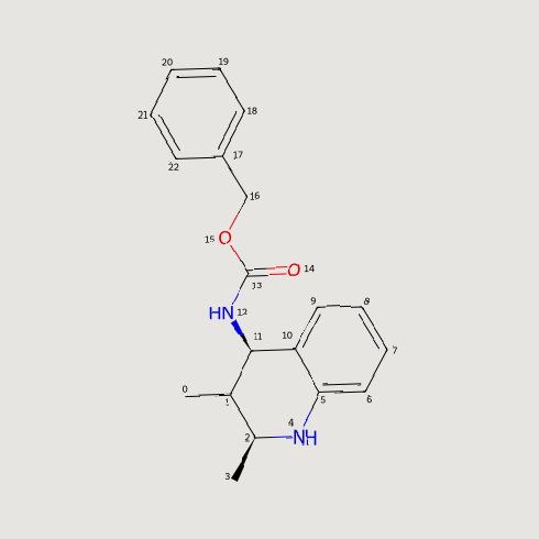 CC1[C@H](C)Nc2ccccc2[C@@H]1NC(=O)OCc1ccccc1